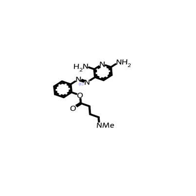 CNCCCC(=O)Oc1ccccc1/N=N/c1ccc(N)nc1N